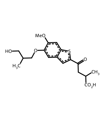 COc1cc2sc(C(=O)CC(C)C(=O)O)cc2cc1OCC(C)CO